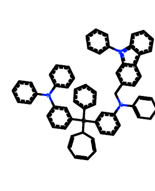 C1=CC=CC([Si](c2ccccc2)(c2cccc(N(Cc3ccc4c5ccccc5n(-c5ccccc5)c4c3)C3=CCCC=C3)c2)c2cccc(N(c3ccccc3)c3ccccc3)c2)C=C1